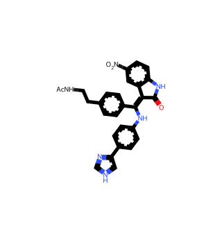 CC(=O)NCCc1ccc(/C(Nc2ccc(-c3c[nH]cn3)cc2)=C2/C(=O)Nc3ccc([N+](=O)[O-])cc32)cc1